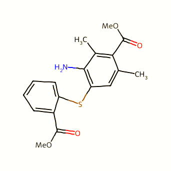 COC(=O)c1ccccc1Sc1cc(C)c(C(=O)OC)c(C)c1N